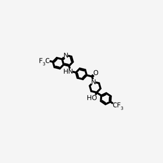 O=C(c1ccc(Nc2ccnc3cc(C(F)(F)F)ccc23)cc1)N1CCC(O)(c2ccc(C(F)(F)F)cc2)CC1